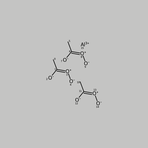 CC([O-])=[O+][O-].CC([O-])=[O+][O-].CC([O-])=[O+][O-].[Al+3]